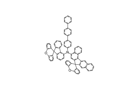 c1ccc(-c2ccc(-c3ccc(N(c4cccc5c4-c4ccccc4C54c5ccccc5Oc5ccccc54)c4cc5c(c6ccccc46)-c4cc6ccccc6cc4C54c5ccccc5Oc5ccccc54)cc3)cc2)cc1